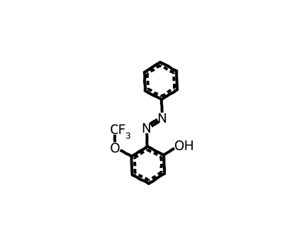 Oc1cccc(OC(F)(F)F)c1N=Nc1ccccc1